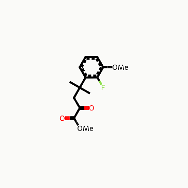 COC(=O)C(=O)CC(C)(C)c1cccc(OC)c1F